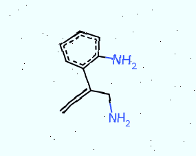 C=C=C(CN)c1ccccc1N